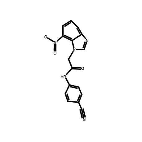 N#Cc1ccc(NC(=O)Cn2cnc3cccc([N+](=O)[O-])c32)cc1